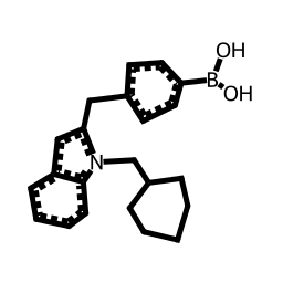 OB(O)c1ccc(Cc2cc3ccccc3n2CC2CCCCC2)cc1